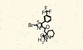 NC(=O)C1([CH]C(=O)c2nc(Br)sc2-c2cccc(C(F)(F)F)c2)CCCCN1